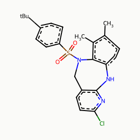 Cc1ccc2c(c1C)N(S(=O)(=O)c1ccc(C(C)(C)C)cc1)Cc1ccc(Cl)nc1N2